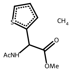 C.COC(=O)C(NC(C)=O)c1cccs1